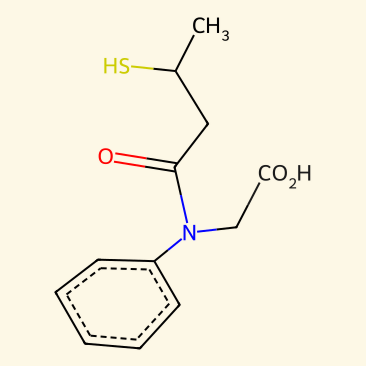 CC(S)CC(=O)N(CC(=O)O)c1ccccc1